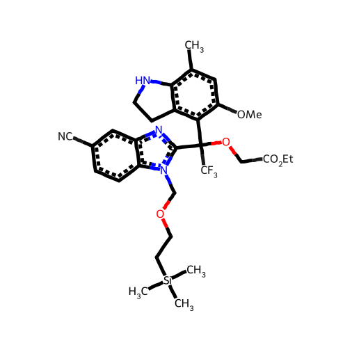 CCOC(=O)COC(c1c(OC)cc(C)c2c1CCN2)(c1nc2cc(C#N)ccc2n1COCC[Si](C)(C)C)C(F)(F)F